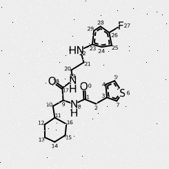 O=C(Cc1ccsc1)NC(CC1CCCCC1)C(=O)NCCNc1ccc(F)cc1